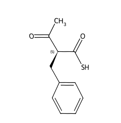 CC(=O)[C@H](Cc1ccccc1)C(=O)S